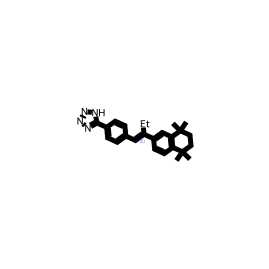 CC/C(=C\c1ccc(-c2nnn[nH]2)cc1)c1ccc2c(c1)C(C)(C)CCC2(C)C